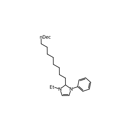 CCCCCCCCCCCCCCCCCCC1N(CC)C=CN1c1ccccc1